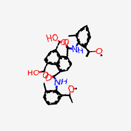 COC(C)c1cccc(C)c1NC(=O)c1ccc(C(=O)Nc2c(C)cccc2C(C)OC)c2c(C(=O)O)ccc(C(=O)O)c12